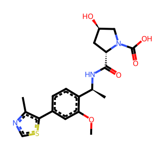 COc1cc(-c2scnc2C)ccc1[C@H](C)NC(=O)[C@@H]1C[C@@H](O)CN1C(=O)O